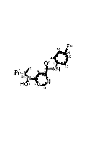 CC(C)[C@H](C)N(O)c1cc(C(=O)Nc2ccc(F)cc2)ncn1